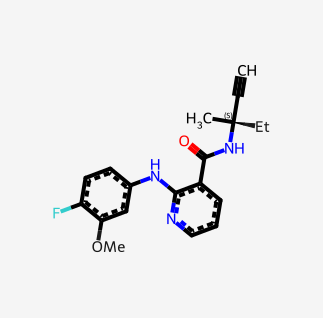 C#C[C@](C)(CC)NC(=O)c1cccnc1Nc1ccc(F)c(OC)c1